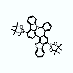 CC1(C)OB(c2cc3c(c4sc5ccccc5c24)-c2ccc(B4OC(C)(C)C(C)(C)O4)c4c5ccccc5n(c24)-c2ccccc2-3)OC1(C)C